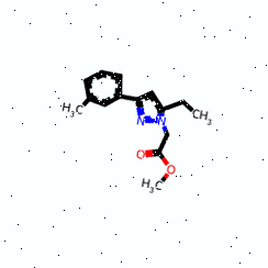 CCc1cc(-c2cccc(C)c2)nn1CC(=O)OC